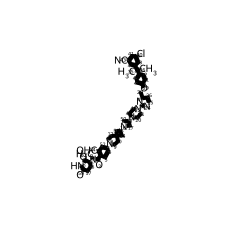 CN(C(=O)c1ccc(N2CCC3(CC2)CC(N2CC(N4CCN(c5nccc(COc6ccc(C(C)(C)c7cc(Cl)cc(C#N)c7)cc6)n5)CC4)C2)C3)cc1C=O)C1CCC(=O)NC1=O